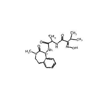 CC(C)C(=NO)C(=O)NC(C)C(=O)N[C@@H]1C(=O)N(C)CCc2ccccc21